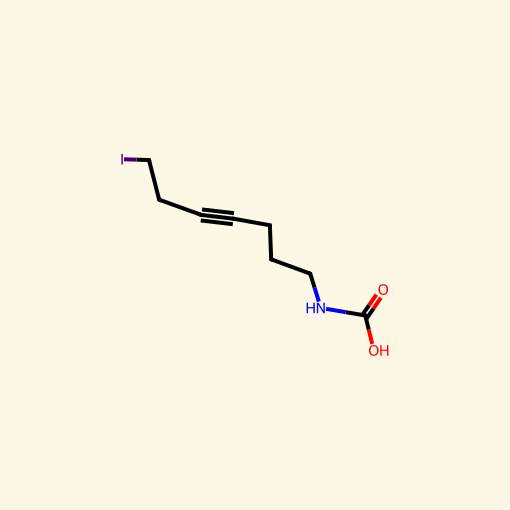 O=C(O)NCCCC#CCCI